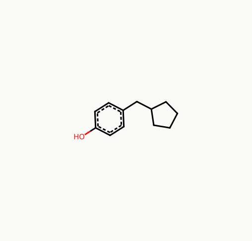 Oc1ccc(CC2CCCC2)cc1